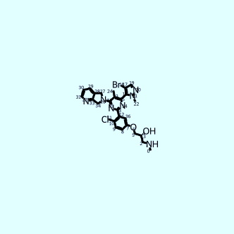 CNC[C@@H](O)COc1ccc(Cl)c(-c2nc(-c3c(Br)cnn3C)c(C)c(N3Cc4cccnc4C3)n2)c1